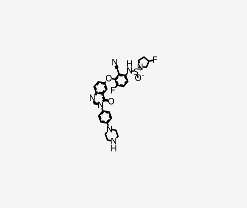 N#Cc1c(N[S+]([O-])N2CCC(F)C2)ccc(F)c1Oc1ccc2ncn(-c3ccc(N4CCNCC4)cc3)c(=O)c2c1